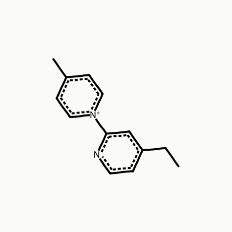 CCc1ccnc(-[n+]2ccc(C)cc2)c1